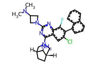 CN(C)C1CN(c2nc(N3C[C@H]4CC[C@@H](C3)C4N)c3cc(Cl)c(-c4cccc5ccccc45)c(F)c3n2)C1